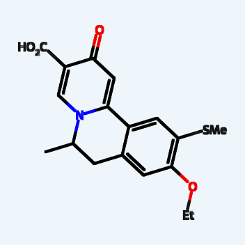 CCOc1cc2c(cc1SC)-c1cc(=O)c(C(=O)O)cn1C(C)C2